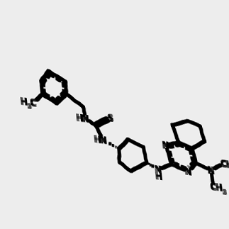 Cc1cccc(CNC(=S)N[C@H]2CC[C@@H](Nc3nc4c(c(N(C)C)n3)CCCC4)CC2)c1